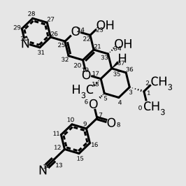 CC(C)[C@@H]1C[C@H](OC(=O)c2ccc(C#N)cc2)[C@@]2(C)OC3=C(C(O)OC(c4cccnc4)=C3)[C@H](O)[C@@H]2C1